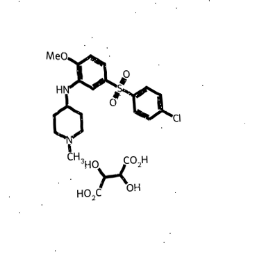 COc1ccc(S(=O)(=O)c2ccc(Cl)cc2)cc1NC1CCN(C)CC1.O=C(O)C(O)C(O)C(=O)O